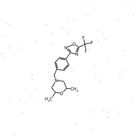 CC1CN(Cc2ccc(-c3noc(C(F)(F)F)n3)cc2)CC(C)O1